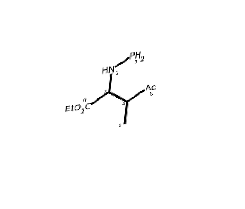 CCOC(=O)C(NP)C(C)C(C)=O